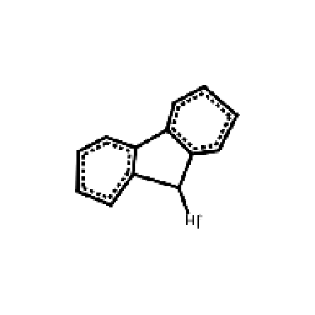 [Hf][CH]1c2ccccc2-c2ccccc21